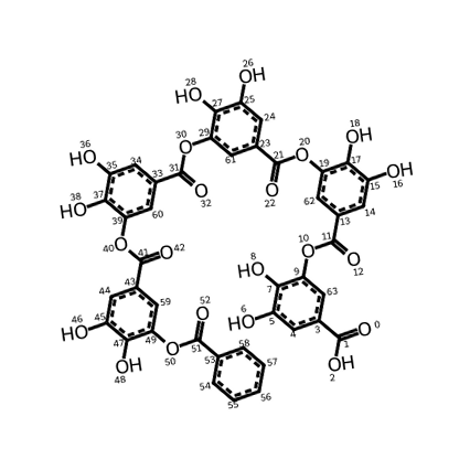 O=C(O)c1cc(O)c(O)c(OC(=O)c2cc(O)c(O)c(OC(=O)c3cc(O)c(O)c(OC(=O)c4cc(O)c(O)c(OC(=O)c5cc(O)c(O)c(OC(=O)c6ccccc6)c5)c4)c3)c2)c1